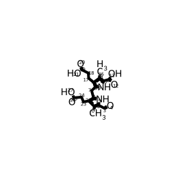 Cc1c(C=O)[nH]c(Cc2[nH]c(C(=O)O)c(C)c2CCC(=O)O)c1CCC(=O)O